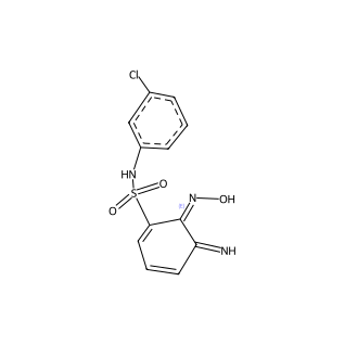 N=C1C=CC=C(S(=O)(=O)Nc2cccc(Cl)c2)/C1=N/O